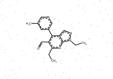 CCc1nc2c(cnn2CC)c(-c2cncc(C)c2)c1C=O